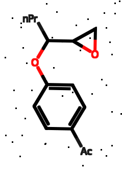 CCCC(Oc1ccc(C(C)=O)cc1)C1CO1